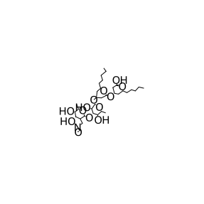 CCCCCCCC(CC(=O)O)OC(=O)CC(CCCCCCC)OC1OC(C)C(O)C(OC2OC(C)C(O)C(O)C2CN=O)C1O